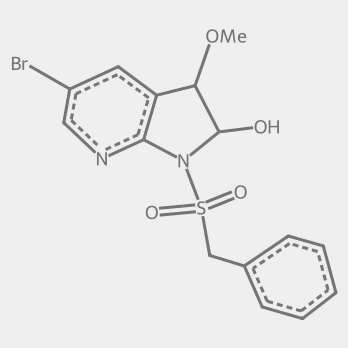 COC1c2cc(Br)cnc2N(S(=O)(=O)Cc2ccccc2)C1O